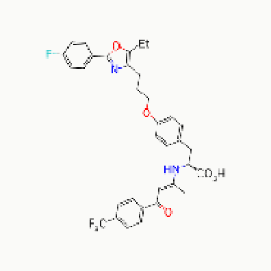 CCc1oc(-c2ccc(F)cc2)nc1CCCOc1ccc(C[C@H](N/C(C)=C/C(=O)c2ccc(C(F)(F)F)cc2)C(=O)O)cc1